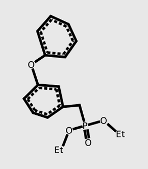 CCOP(=O)(Cc1cccc(Oc2ccccc2)c1)OCC